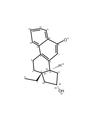 CC[C@@]12CCc3c(cc(Cl)c4ccccc34)[C@H]1C[C@H](O)C2